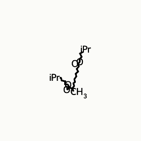 CC(C)CCCCOC(=O)CCCCCCCCCC(C)C(=O)OCCCCC(C)C